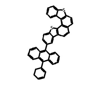 C1=CCCC(c2c3ccccc3c(-c3ccc4sc5c(ccc6ccc7sc8ccccc8c7c65)c4c3)c3ccccc23)=C1